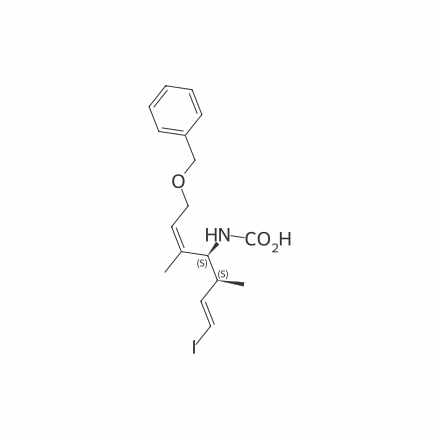 CC(=CCOCc1ccccc1)[C@@H](NC(=O)O)[C@@H](C)C=CI